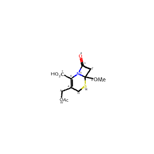 COC12CC(=O)N1C(C(=O)O)=C(COC(C)=O)CS2